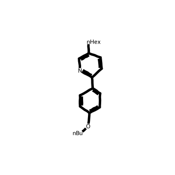 CCCCCCc1ccc(-c2ccc(OCCCC)cc2)nc1